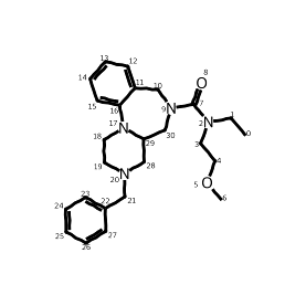 CCN(CCOC)C(=O)N1Cc2ccccc2N2CCN(Cc3ccccc3)CC2C1